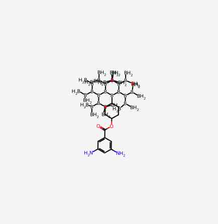 BB(B)B(B(B)B)B(B(B(B)B)B(B)B)B(B(B(B)B)B(B)B)B(B(B(B(B)B)B(B)B)B(B(B)B)B(B)B)C1CCC(OC(=O)c2cc(N)cc(N)c2)CC1